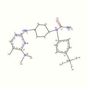 Cc1cnc(NC2CCC(N(C(N)=O)c3ccc(C(F)(F)F)cc3)CC2)nc1N(C)C